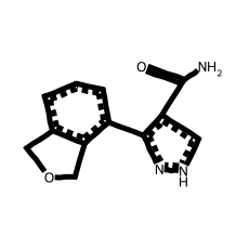 NC(=O)c1c[nH]nc1-c1cccc2c1COC2